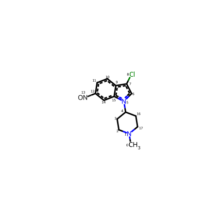 CN1CCC(n2cc(Cl)c3ccc(N=O)cc32)CC1